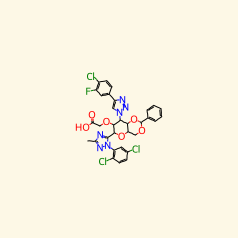 Cc1nc(C2OC3COC(c4ccccc4)OC3C(n3cc(-c4ccc(Cl)c(F)c4)nn3)C2OCC(=O)O)n(-c2cc(Cl)ccc2Cl)n1